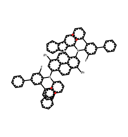 CC(C)c1cc(N(c2c(F)cc(-c3ccccc3)cc2-c2ccccc2)c2cccc3c2oc2ccccc23)c2ccc3c(C(C)C)cc(N(c4c(F)cc(-c5ccccc5)cc4-c4ccccc4)c4cccc5c4sc4ccccc45)c4ccc1c2c34